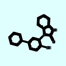 O=c1[nH]c2ccccc2n1-c1cc(-c2ccccc2)ccc1O